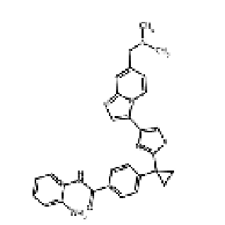 CN(C)Cc1ccn2c(-c3csc(C4(c5ccc(C(=O)Nc6ccccc6N)cc5)CC4)n3)cnc2c1